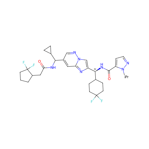 CC(C)n1nccc1C(=O)N[C@H](c1cn2ncc(C(NC(=O)CC3CCCC3(F)F)C3CC3)cc2n1)C1CCC(F)(F)CC1